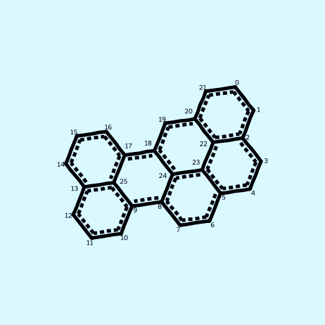 c1cc2ccc3ccc4c5cccc6cccc(c7cc(c1)c2c3c47)c65